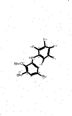 COc1c(Pc2c(F)c(F)c(F)c(F)c2F)cc(C(C)(C)C)cc1C(C)(C)C